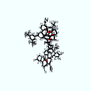 Cc1ccc2c(c1)c1cc(C)ccc1n2-c1ccc(-c2cc(C(F)(F)F)cc(C(F)(F)F)c2)cc1-c1ccc(C#N)cc1-n1c2ccc(C)cc2c2cc(CCC(C)(C)c3ccc4c(c3)c3ccccc3n4-c3cc(C#N)ccc3-c3cc(-c4cc(C(F)(F)F)cc(C(F)(F)F)c4)ccc3-n3c4ccc(C)cc4c4cc(C(C)(C)C)ccc43)ccc21